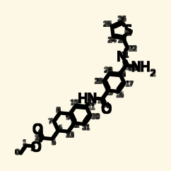 CCOC(=O)CC1CCc2cc(NC(=O)c3ccc(C(N)=NCc4cccs4)cc3)ccc2C1